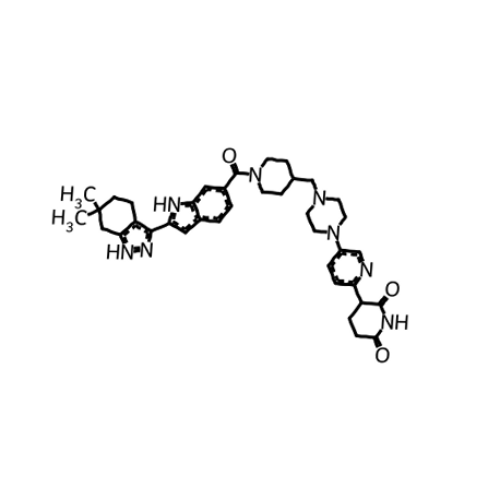 CC1(C)CCc2c(-c3cc4ccc(C(=O)N5CCC(CN6CCN(c7ccc(C8CCC(=O)NC8=O)nc7)CC6)CC5)cc4[nH]3)n[nH]c2C1